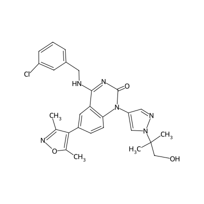 Cc1noc(C)c1-c1ccc2c(c1)c(NCc1cccc(Cl)c1)nc(=O)n2-c1cnn(C(C)(C)CO)c1